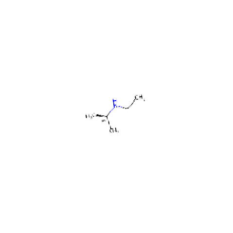 [CH2][C@H](C)NCC